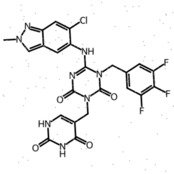 Cn1cc2cc(Nc3nc(=O)n(Cc4c[nH]c(=O)[nH]c4=O)c(=O)n3Cc3cc(F)c(F)c(F)c3)c(Cl)cc2n1